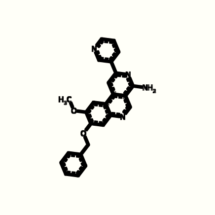 COc1cc2c(cc1OCc1ccccc1)ncc1c(N)nc(-c3cccnc3)cc12